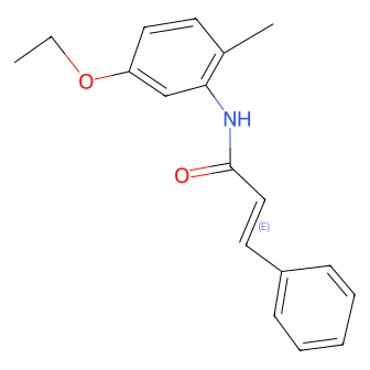 CCOc1ccc(C)c(NC(=O)/C=C/c2ccccc2)c1